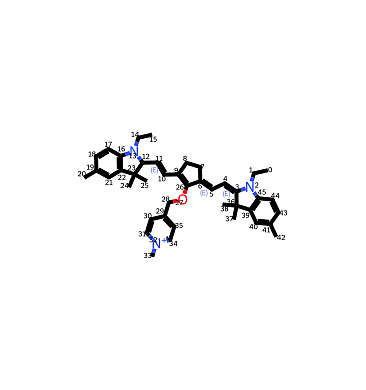 CCN1/C(=C/C=C2\CCC(/C=C/C3N(CC)c4ccc(C)cc4C3(C)C)=C2OCc2cc[n+](C)cc2)C(C)(C)c2cc(C)ccc21